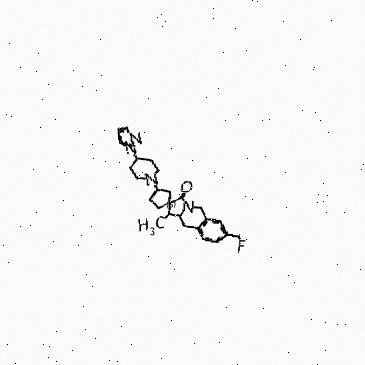 CC1C2Cc3ccc(CF)cc3CN2C(=O)[C@]12CCC(N1CCC(n3cccn3)CC1)C2